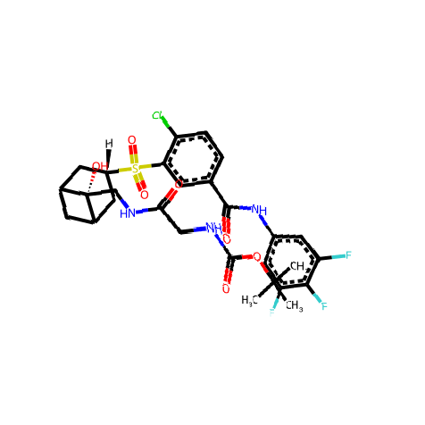 CC(C)(C)OC(=O)NCC(=O)NC[C@]1(O)C2CC1C[C@@H](S(=O)(=O)c1cc(C(=O)Nc3cc(F)c(F)c(F)c3)ccc1Cl)C2